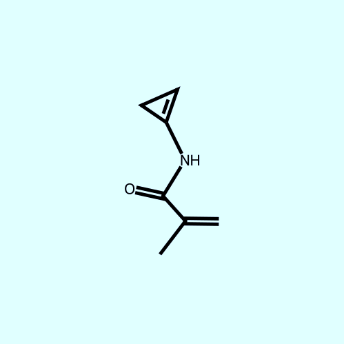 C=C(C)C(=O)NC1=CC1